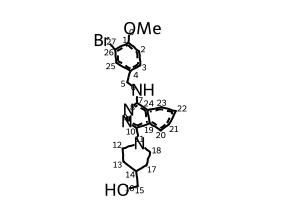 COc1ccc(CNc2nnc(N3CCC(CO)CC3)c3ccccc23)cc1Br